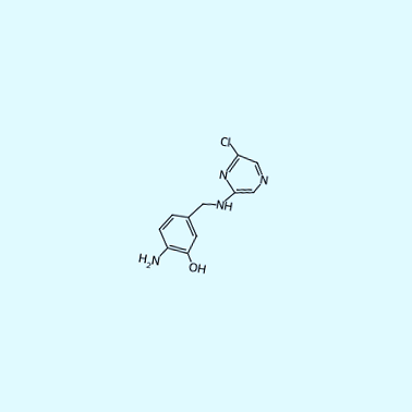 Nc1ccc(CNc2cncc(Cl)n2)cc1O